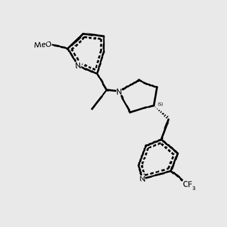 COc1cccc(C(C)N2CC[C@H](Cc3ccnc(C(F)(F)F)c3)C2)n1